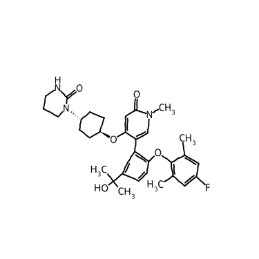 Cc1cc(F)cc(C)c1Oc1ccc(C(C)(C)O)cc1-c1cn(C)c(=O)cc1O[C@H]1CC[C@H](N2CCCNC2=O)CC1